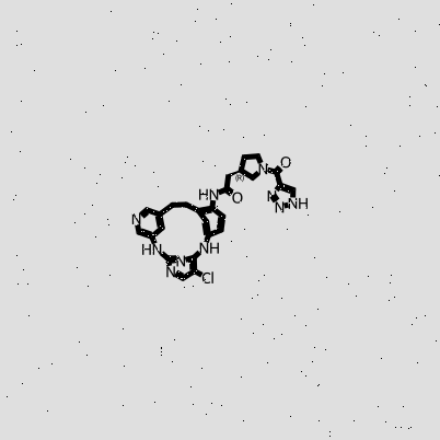 O=C(C[C@H]1CCN(C(=O)c2c[nH]nn2)C1)Nc1ccc2cc1CCc1cncc(c1)Nc1ncc(Cl)c(n1)N2